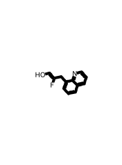 O/C=C(\F)Cc1cccc2cccnc12